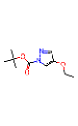 CCOc1cnn(C(=O)OC(C)(C)C)c1